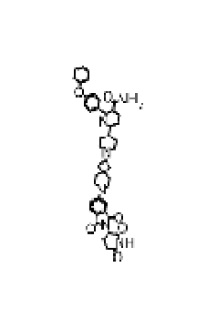 NC(=O)c1ccc(C2CCN(C3CC4(CCN(c5ccc6c(c5)C(=O)N(C5CCC(=O)NC5=O)C6=O)CC4)C3)CC2)nc1-c1ccc(Oc2ccccc2)cc1